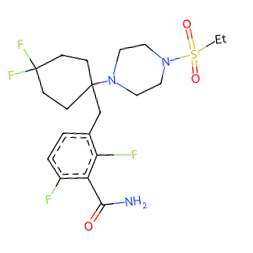 CCS(=O)(=O)N1CCN(C2(Cc3ccc(F)c(C(N)=O)c3F)CCC(F)(F)CC2)CC1